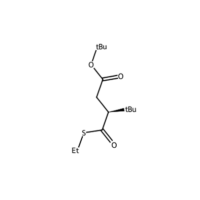 CCSC(=O)[C@@H](CC(=O)OC(C)(C)C)C(C)(C)C